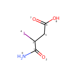 NC(=O)C(I)CC(=O)O